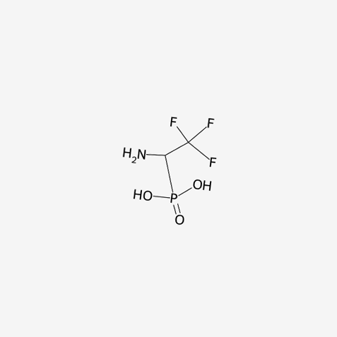 NC(C(F)(F)F)P(=O)(O)O